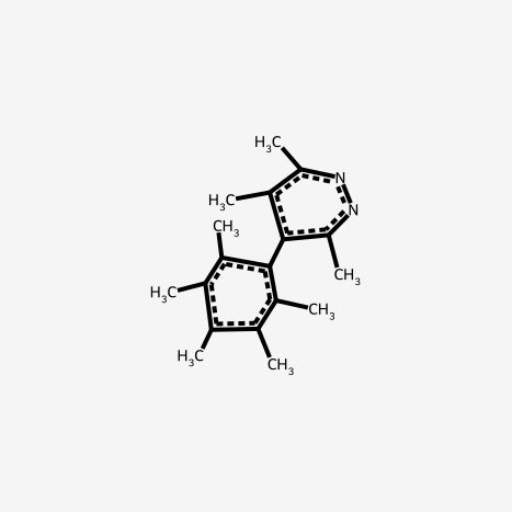 Cc1nnc(C)c(-c2c(C)c(C)c(C)c(C)c2C)c1C